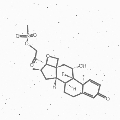 C[C@@H]1C[C@H]2[C@@H]3CCC4=CC(=O)C=C[C@]4(C)[C@@]3(F)[C@@H](O)C[C@@]23CO[C@]13C(=O)COS(C)(=O)=O